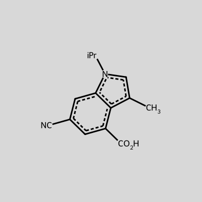 Cc1cn(C(C)C)c2cc(C#N)cc(C(=O)O)c12